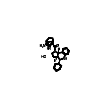 Cl.N[C@@H]1C2CCC(CC2)[C@@H]1C(=O)N1CC[C@@H]2[C@H](c3ccccc3)Nc3ccccc3[C@@H]21